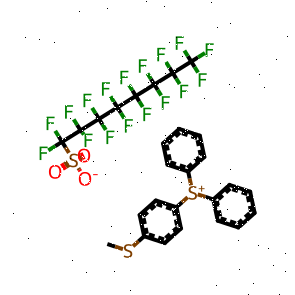 CSc1ccc([S+](c2ccccc2)c2ccccc2)cc1.O=S(=O)([O-])C(F)(F)C(F)(F)C(F)(F)C(F)(F)C(F)(F)C(F)(F)C(F)(F)C(F)(F)F